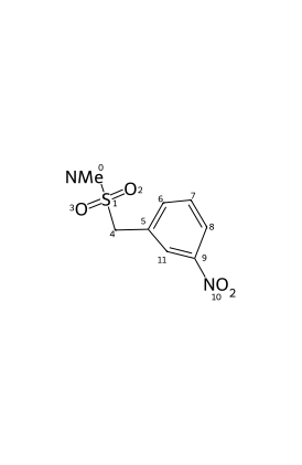 CNS(=O)(=O)Cc1cccc([N+](=O)[O-])c1